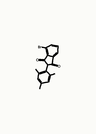 Cc1cc(C)c(C2C(=O)c3cccc(Br)c3C2=O)c(C)c1